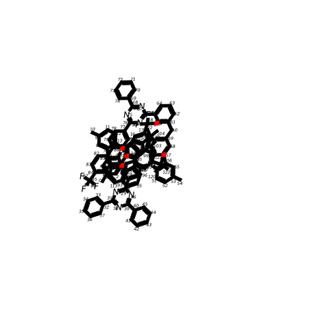 Cc1ccc2c(c1)c1cc(C)ccc1n2-c1cc(C(F)(F)F)ccc1-c1ccc(-c2nc(-c3ccccc3)nc(-c3ccccc3)n2)cc1-n1c2ccc(C)cc2c2cc(Cc3cccc(-c4nc(-c5ccccc5)nc(-c5ccc(-c6ccc(C(F)(F)F)cc6-n6c7ccccc7c7cc(C(C)(C)C)ccc76)c(-n6c7ccccc7c7cc(C(C)(C)C)ccc76)c5)n4)c3)ccc21